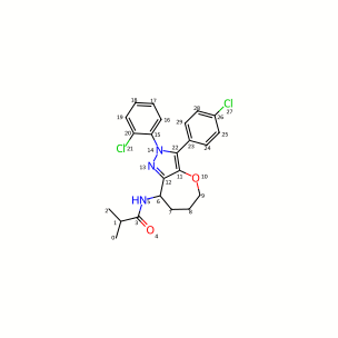 CC(C)C(=O)NC1CCCOc2c1nn(-c1ccccc1Cl)c2-c1ccc(Cl)cc1